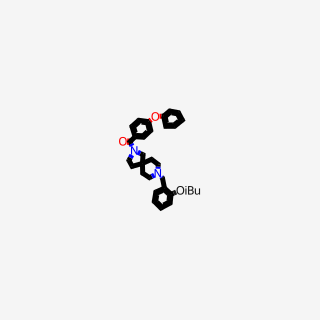 CC(C)COc1ccccc1CN1CCC2(CC1)CCN(C(=O)c1ccc(Oc3ccccc3)cc1)C2